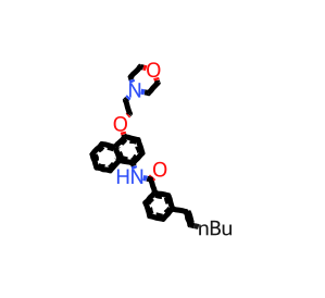 CCCC/C=C/c1cccc(C(=O)Nc2ccc(OCCN3CCOCC3)c3ccccc23)c1